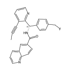 CC#Cc1cccnc1[C@@H](NC(=O)c1ccc2ncccc2c1)c1ccc(CF)cc1